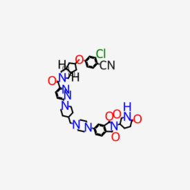 N#Cc1ccc(OC2C[C@@H]3CN(C(=O)c4ccc(N5CCC(CN6CCN(c7ccc8c(c7)C(=O)N(C7CCC(=O)NC7=O)C8=O)CC6)CC5)nn4)C[C@@H]3C2)cc1Cl